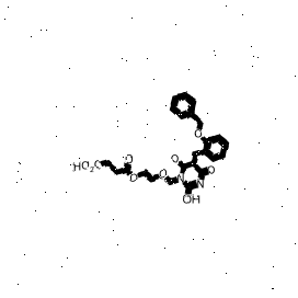 O=C(O)CCC(=O)OCCOCN1C(=O)C(Cc2ccccc2OCc2ccccc2)C(=O)N=C1O